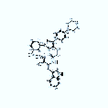 COC(=O)C(Cc1c[nH]c2ccccc12)NC(=O)/C=C\c1cn(-c2cccc(Cl)c2)nc1-c1ccc(N2CCOCC2)cc1